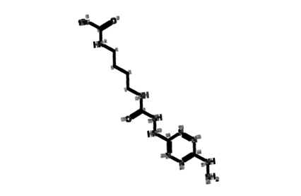 CC(C)(C)C(=O)NCCCCNC(=O)NNc1nnc(NN)nn1